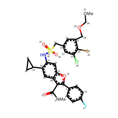 CNC(=O)c1c(-c2ccc(F)cc2)oc2cc(NS(=O)(=O)Cc3cc(Cl)c(Br)c(COCOC)c3)c(C3CC3)cc12